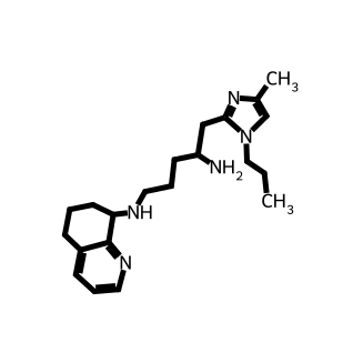 CCCn1cc(C)nc1CC(N)CCCNC1CCCc2cccnc21